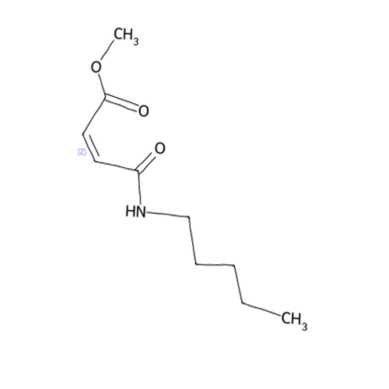 CCCCCNC(=O)/C=C\C(=O)OC